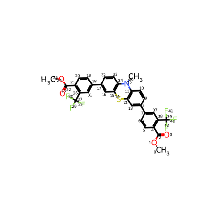 COC(=O)c1ccc(-c2ccc3c(c2)Sc2cc(-c4ccc(C(=O)OC)c(C(F)(F)F)c4)ccc2N3C)cc1C(F)(F)F